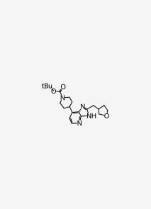 CC(C)(C)OC(=O)N1CCC(c2ccnc3[nH]c(CC4CCOC4)nc23)CC1